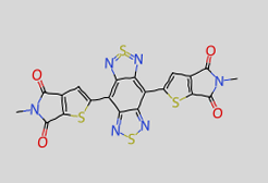 CN1C(=O)c2cc(-c3c4c(c(-c5cc6c(s5)C(=O)N(C)C6=O)c5nsnc35)N=S=N4)sc2C1=O